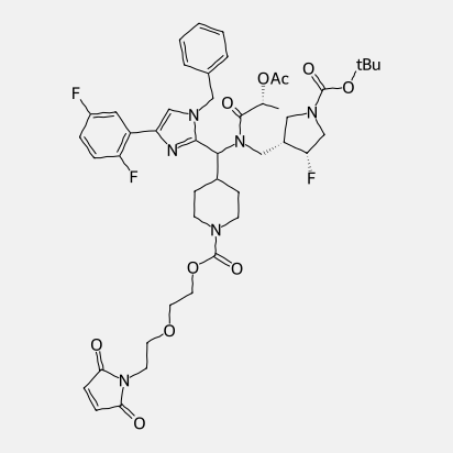 CC(=O)O[C@H](C)C(=O)N(C[C@@H]1CN(C(=O)OC(C)(C)C)C[C@@H]1F)C(c1nc(-c2cc(F)ccc2F)cn1Cc1ccccc1)C1CCN(C(=O)OCCOCCN2C(=O)C=CC2=O)CC1